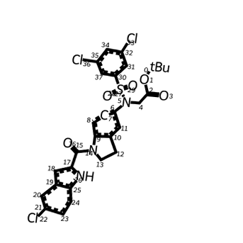 CC(C)(C)OC(=O)CN(c1ccc2c(c1)CCN2C(=O)c1cc2cc(Cl)ccc2[nH]1)S(=O)(=O)c1cc(Cl)cc(Cl)c1